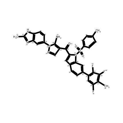 Cc1ccc(S(=O)(=O)n2c(C(=O)c3cnn(-c4ccc5[nH]c(C)nc5c4)c3N)cc3ccc(-c4cc(F)c(C)c(F)c4F)cc32)cc1